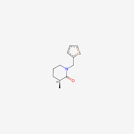 C[C@H]1CCCN(Cc2cccs2)C1=O